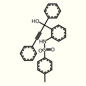 Cc1ccc(S(=O)(=O)Nc2ccccc2C(O)(C#Cc2ccccc2)c2ccccc2)cc1